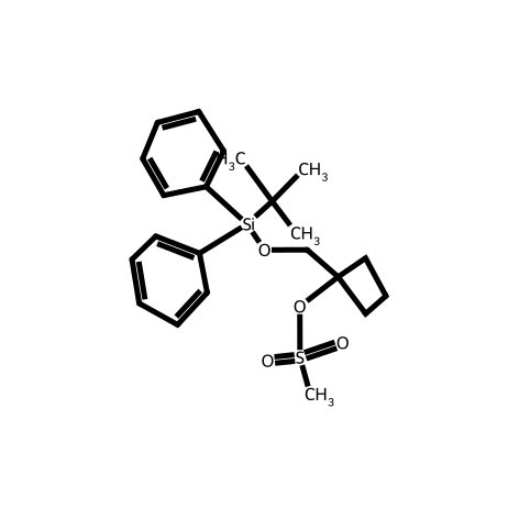 CC(C)(C)[Si](OCC1(OS(C)(=O)=O)CCC1)(c1ccccc1)c1ccccc1